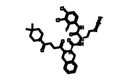 CC1(C)CCN(C(=O)CCC(=O)N2Cc3ccccc3C[C@H]2C(=O)N[C@@H](CCN=[N+]=[N-])C(=O)Nc2ccc(Cl)c(Cl)c2F)CC1